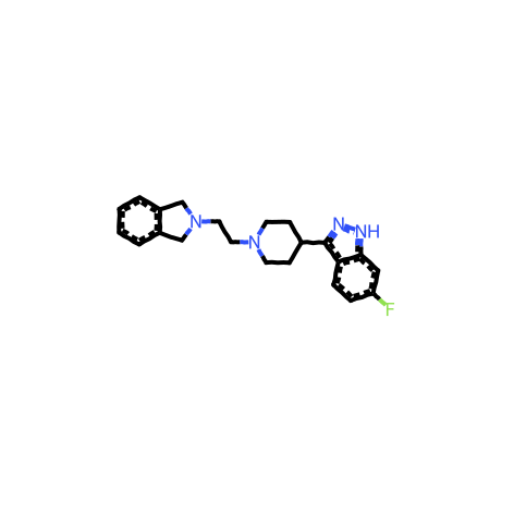 Fc1ccc2c(C3CCN(CCN4Cc5ccccc5C4)CC3)n[nH]c2c1